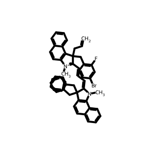 C=CCC1(Cc2ccc(Br)cc2F)C(/C=C/C=C2/N(C)c3c(ccc4ccccc34)C2(Cc2ccccc2)Cc2ccccc2)=[N+](C)c2ccc3ccccc3c21